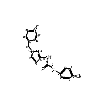 O=C(CCc1ccc(Cl)cc1)Nc1ccn(Cc2ccncc2)n1